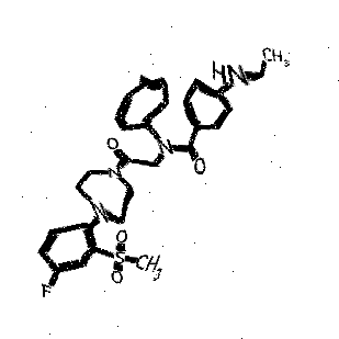 CCNc1ccc(C(=O)N(CC(=O)N2CCN(c3ccc(F)cc3S(C)(=O)=O)CC2)c2ccccc2)cc1